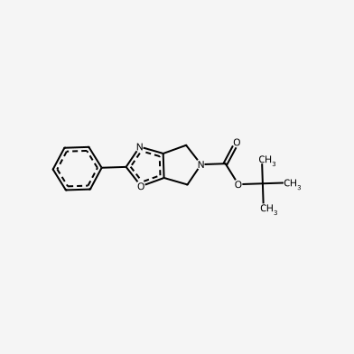 CC(C)(C)OC(=O)N1Cc2nc(-c3ccccc3)oc2C1